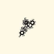 Cc1ccc(S(=O)(=O)OC[C@@]2(OS(=O)(=O)C(F)(F)F)CCc3ccccc3O2)cc1